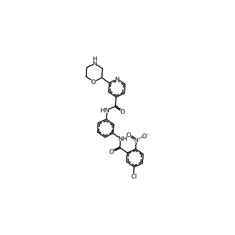 O=C(Nc1cccc(NC(=O)c2cc(Cl)ccc2[N+](=O)[O-])c1)c1ccnc(C2CNCCO2)c1